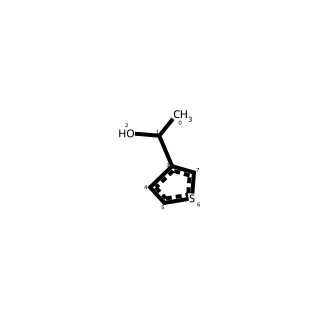 CC(O)c1[c]csc1